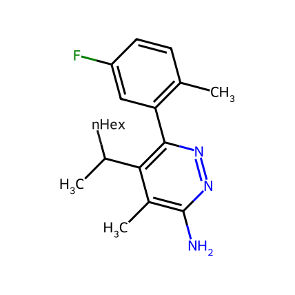 CCCCCCC(C)c1c(-c2cc(F)ccc2C)nnc(N)c1C